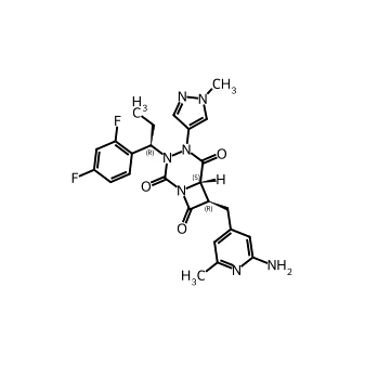 CC[C@H](c1ccc(F)cc1F)N1C(=O)N2C(=O)[C@H](Cc3cc(C)nc(N)c3)[C@H]2C(=O)N1c1cnn(C)c1